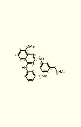 COc1cccc(Nc2nc(Nc3cccc(CNC(C)=O)c3)nc3c(OC)cccc23)c1